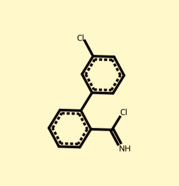 N=C(Cl)c1ccccc1-c1cccc(Cl)c1